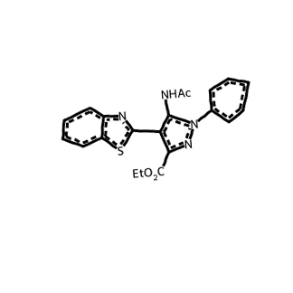 CCOC(=O)c1nn(-c2ccccc2)c(NC(C)=O)c1-c1nc2ccccc2s1